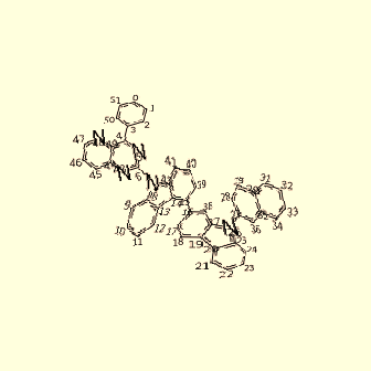 c1ccc(-c2nc(-n3c4ccccc4c4c(-c5ccc6c7ccccc7n(-c7ccc8ccccc8c7)c6c5)cccc43)nc3cccnc23)cc1